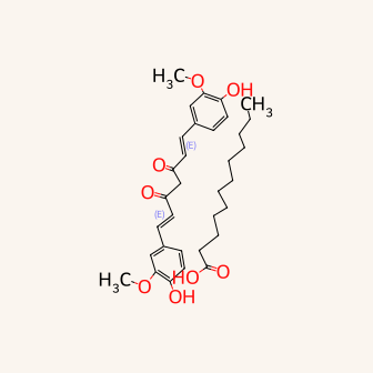 CCCCCCCCCCCC(=O)O.COc1cc(/C=C/C(=O)CC(=O)/C=C/c2ccc(O)c(OC)c2)ccc1O